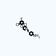 N[C@H]1CC[C@H](CCN2CCC(Oc3c(Cl)cc(F)cc3Cl)CC2)CC1